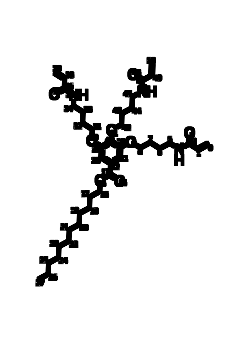 C=CC(=O)NCCCCOc1cc(C(=O)OCCCCCCCCCCCC)cc(OCCCCNC(=O)C=C)c1OCCCCNC(=O)C=C